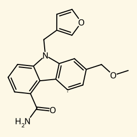 COCc1c[c]c2c3c(C(N)=O)cccc3n(Cc3ccoc3)c2c1